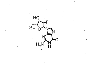 C[C@@]1(F)C(O)[C@@H](CO)OC1n1cnc2c(=O)[nH]c(N)nc21